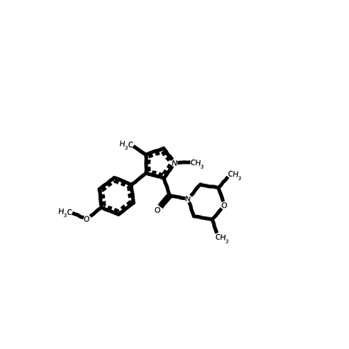 COc1ccc(-c2c(C)cn(C)c2C(=O)N2CC(C)OC(C)C2)cc1